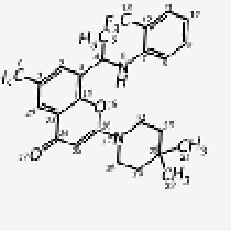 Cc1cc(C(C)Nc2ccccc2C(F)(F)F)c2oc(N3CCC(C)(C)CC3)cc(=O)c2c1